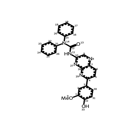 COc1cc(-c2ccc3ncc(NC(=O)N(c4ccccc4)c4ccccc4)nc3n2)ccc1O